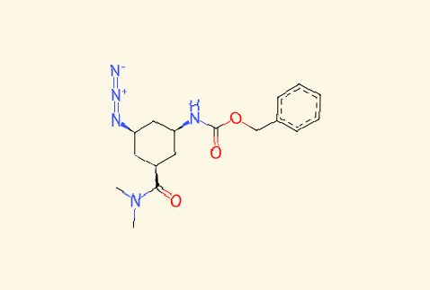 CN(C)C(=O)[C@H]1C[C@@H](N=[N+]=[N-])C[C@@H](NC(=O)OCc2ccccc2)C1